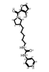 O=C(NCCCCCC1CCN(C(=O)c2occc2F)C1)Nc1ccncc1